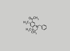 CC(=O)c1cc2c(cc1C)C(C)(C)CCN2Cc1ccccc1